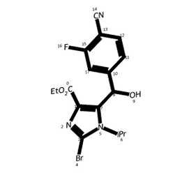 CCOC(=O)c1nc(Br)n(C(C)C)c1C(O)c1ccc(C#N)c(F)c1